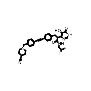 N#CC1CCN(Cc2ccc(C#Cc3ccc(CC(C(=O)NCC(F)F)c4nc[nH]c(=O)c4O)cc3)cc2)CC1